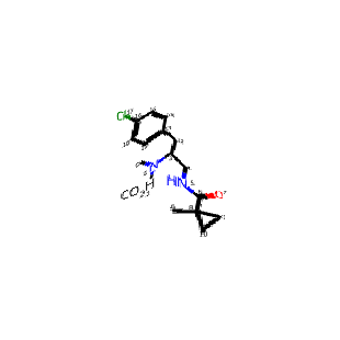 CN(C(=O)O)C(CNC(=O)C1(C)CC1)Cc1ccc(Cl)cc1